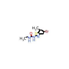 CCNC(=O)Nc1nc2cc(Br)cc(C)c2s1